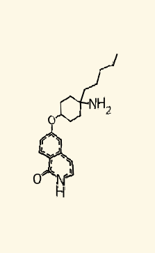 CCCCCC1(N)CCC(Oc2ccc3c(=O)[nH]ccc3c2)CC1